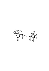 O=c1nc(NCCCN[C@@H]2CCNc3c(Cl)cc(Br)cc32)[nH]c2ccsc12